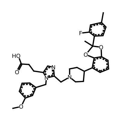 COc1cccc(Cn2c(CCC(=O)O)cnc2CN2CCC(c3cccc4c3OC(C)(c3ccc(C)cc3F)O4)CC2)c1